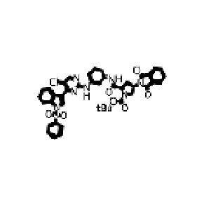 CC(C)(C)OC(=O)N1CC(N2C(=O)c3ccccc3C2=O)CC1C(=O)N[C@H]1CCC[C@@H](Nc2ncc(Cl)c(-c3cn(S(=O)(=O)c4ccccc4)c4ccccc34)n2)C1